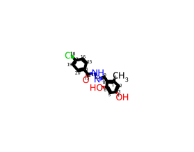 Cc1cc(O)cc(O)c1/C=N/NC(=O)c1ccc(Cl)cc1